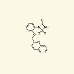 O=C1NS(=O)(=O)N1c1ccccc1OCc1ccc2ccccc2n1